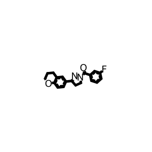 O=C(c1cccc(F)c1)N1CCC(c2ccc3c(c2)CCCO3)=N1